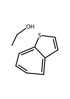 CCO.c1ccc2sccc2c1